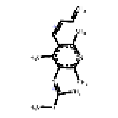 C=C/C=C\c1c(C)nc(C)c(/N=C(\C)SC)c1C